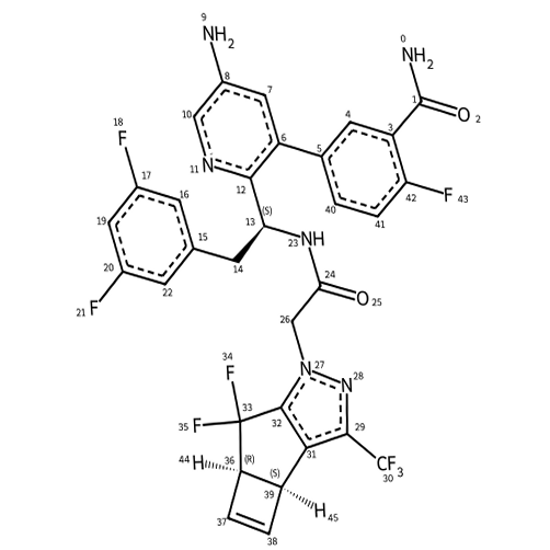 NC(=O)c1cc(-c2cc(N)cnc2[C@H](Cc2cc(F)cc(F)c2)NC(=O)Cn2nc(C(F)(F)F)c3c2C(F)(F)[C@@H]2C=C[C@H]32)ccc1F